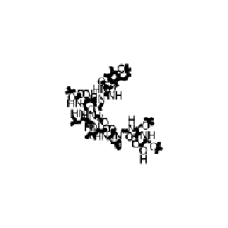 CC[C@H](C)[C@H](NC(=O)[C@@H](CCCNC(=N)NS(=O)(=O)c1c(C)c(C)c2c(c1C)CCC(C)(C)O2)NC(=O)[C@H](CC(C)C)NC(=O)[C@@H](NC(=O)OC(C)(C)C)[C@H](O)C(C)C)C(=O)N[C@@H](CC(C)C)C(=O)NCC(=O)N[C@@H](COC(C)(C)C)C(=O)N[C@@H](COC(C)(C)C)C(=O)O